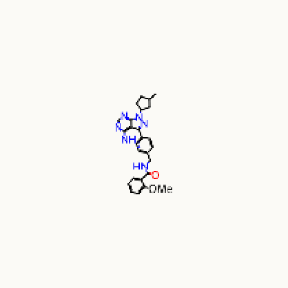 COc1ccccc1C(=O)NCc1ccc(-c2nn(C3CCC(C)C3)c3ncnc(N)c23)cc1